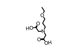 CCOCCCN(CC(=O)O)CC(=O)O